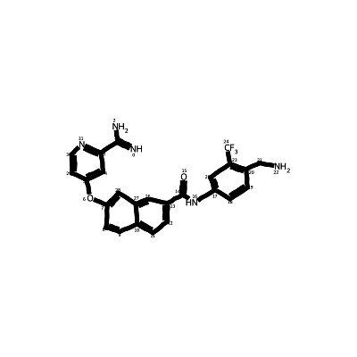 N=C(N)c1cc(Oc2ccc3ccc(C(=O)Nc4ccc(CN)c(C(F)(F)F)c4)cc3c2)ccn1